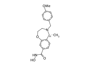 COc1ccc(CN2CCOc3cc(C(=O)NO)ccc3[C@H]2C)cc1